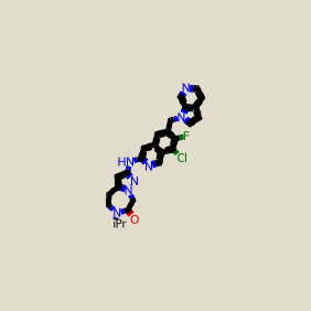 CC(C)N1CCc2cc(Nc3cc4cc(Cn5ccc6ccncc65)c(F)c(Cl)c4cn3)nn2CC1=O